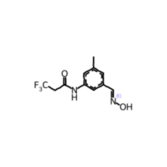 Cc1cc(/C=N/O)cc(NC(=O)CC(F)(F)F)c1